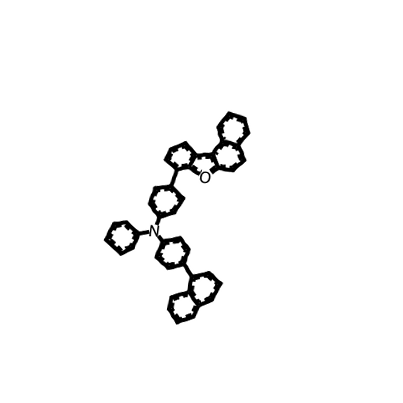 c1ccc(N(c2ccc(-c3cccc4ccccc34)cc2)c2ccc(-c3cccc4c3oc3ccc5ccccc5c34)cc2)cc1